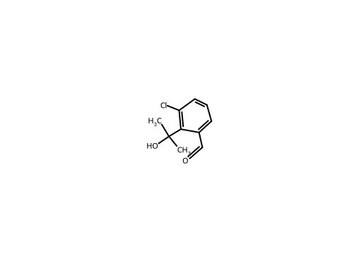 CC(C)(O)c1c(Cl)cccc1C=O